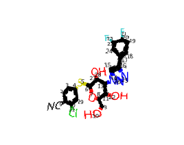 N#Cc1ccc(SC2OC(CO)C(O)C(n3cc(-c4ccc(F)c(F)c4)nn3)C2O)cc1Cl